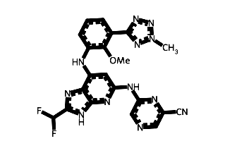 COc1c(Nc2cc(Nc3cncc(C#N)n3)nc3[nH]c(C(F)F)nc23)cccc1-c1nnn(C)n1